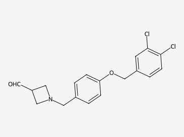 O=CC1CN(Cc2ccc(OCc3ccc(Cl)c(Cl)c3)cc2)C1